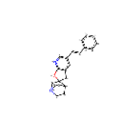 C(=Cc1cnc2c(c1)CC1(CN3CCC1CC3)O2)c1ccccc1